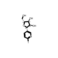 OC[C@H]1O[C@@H](c2ccc(I)nc2)[C@H](O)[C@@H]1O